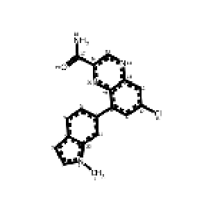 Cn1ccc2ccc(-c3cc(Cl)cc4ncc(C(N)=O)nc34)cc21